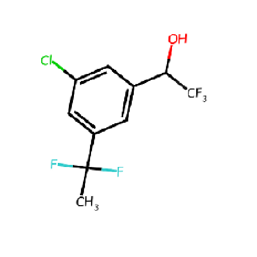 CC(F)(F)c1cc(Cl)cc(C(O)C(F)(F)F)c1